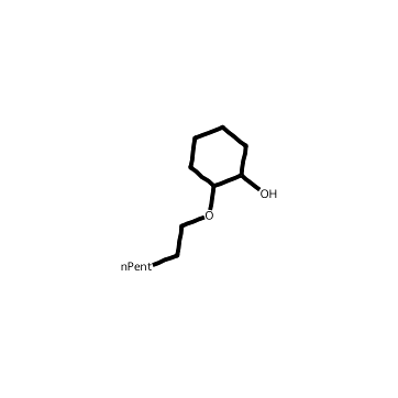 CCCCCCCOC1CCCCC1O